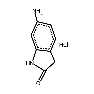 Cl.Nc1ccc2c(c1)NC(=O)C2